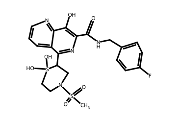 CS(=O)(=O)N1CCS(O)(O)C(c2nc(C(=O)NCc3ccc(F)cc3)c(O)c3ncccc23)C1